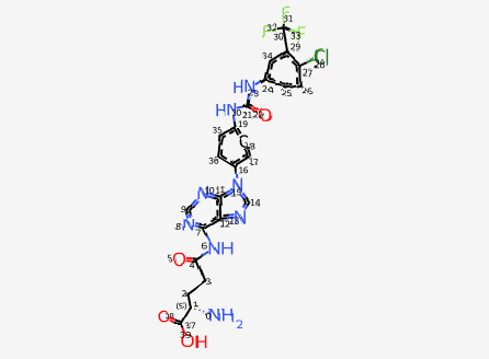 N[C@@H](CCC(=O)Nc1ncnc2c1ncn2-c1ccc(NC(=O)Nc2ccc(Cl)c(C(F)(F)F)c2)cc1)C(=O)O